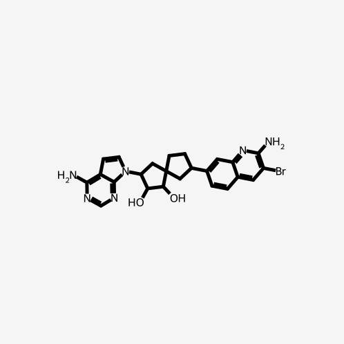 Nc1nc2cc(C3CCC4(C3)CC(n3ccc5c(N)ncnc53)C(O)C4O)ccc2cc1Br